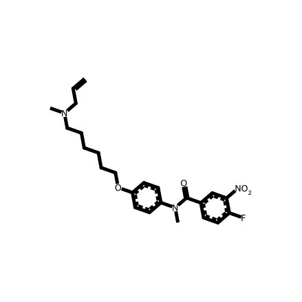 C=CCN(C)CCCCCCOc1ccc(N(C)C(=O)c2ccc(F)c([N+](=O)[O-])c2)cc1